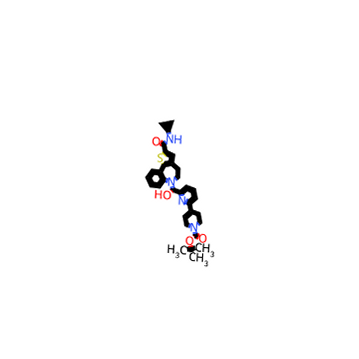 CC(C)(C)OC(=O)N1CC=C(c2cccc(C(O)N3CCc4cc(C(=O)NC5CC5)sc4-c4ccccc43)n2)CC1